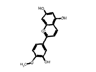 COc1ccc(-c2ccc3c(O)cc(O)cc3[o+]2)cc1O